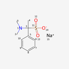 CN(C)C(C)(c1ccccc1)S(=O)(=O)[O-].[Na+]